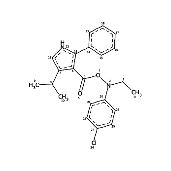 CCN(OC(=O)c1c(C(C)C)c[nH]c1-c1ccccc1)c1ccc(Cl)cc1